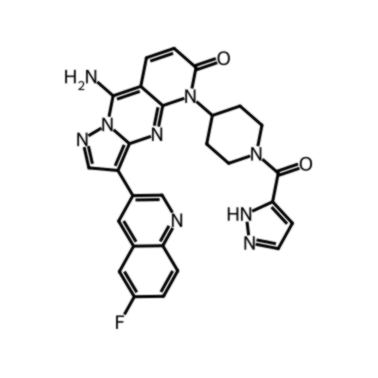 Nc1c2ccc(=O)n(C3CCN(C(=O)c4ccn[nH]4)CC3)c2nc2c(-c3cnc4ccc(F)cc4c3)cnn12